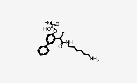 NCCCCCCNC(=O)C(F)c1cc(-c2ccccc2)ccc1OP(=O)(O)O